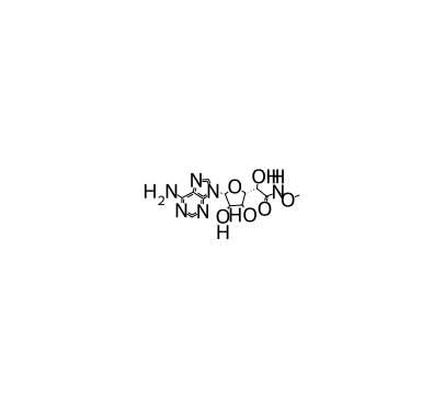 CONC(=O)C(O)[C@H]1O[C@@H](n2cnc3c(N)ncnc32)[C@H](O)[C@@H]1O